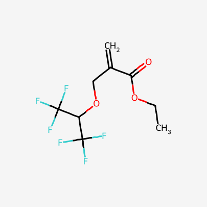 C=C(COC(C(F)(F)F)C(F)(F)F)C(=O)OCC